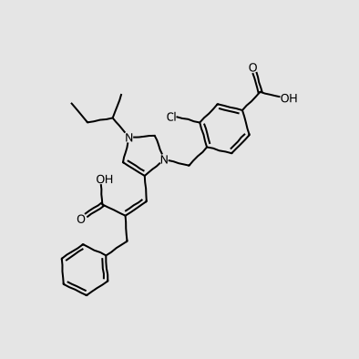 CCC(C)N1C=C(C=C(Cc2ccccc2)C(=O)O)N(Cc2ccc(C(=O)O)cc2Cl)C1